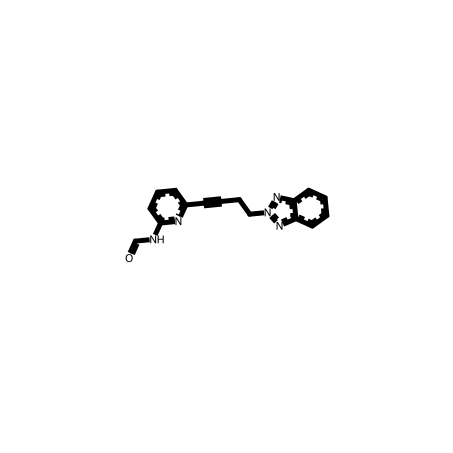 O=CNc1cccc(C#CCCn2nc3ccccc3n2)n1